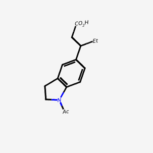 CCC(CC(=O)O)c1ccc2c(c1)CCN2C(C)=O